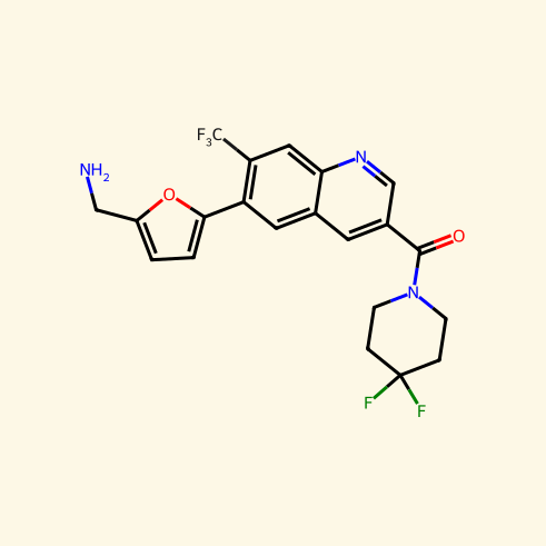 NCc1ccc(-c2cc3cc(C(=O)N4CCC(F)(F)CC4)cnc3cc2C(F)(F)F)o1